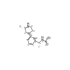 CCC(=O)N[C@H](C)c1cccc(N2CCN[C@@H](C)C2)n1